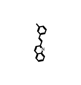 Cc1cccc(/C=C/c2ccc3ccccc3n2)c1